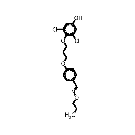 CCCO/N=C/c1ccc(OCCCOc2c(Cl)cc(O)cc2Cl)cc1